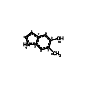 Cc1cc2[nH]ccc2cc1O